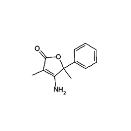 CC1=C(N)C(C)(c2ccccc2)OC1=O